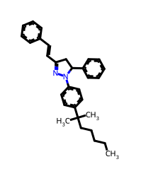 CCCCCC(C)(C)c1ccc(N2N=C(C=Cc3ccccc3)CC2c2ccccc2)cc1